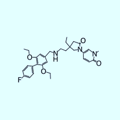 CCOc1cc(CNCCC2(CC)CC(=O)N(c3ccc(=O)n(C)c3)C2)cc(OCC)c1-c1ccc(F)cc1